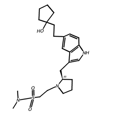 CN(C)S(=O)(=O)CCN1CCC[C@@H]1Cc1c[nH]c2ccc(CCC3(O)CCCC3)cc12